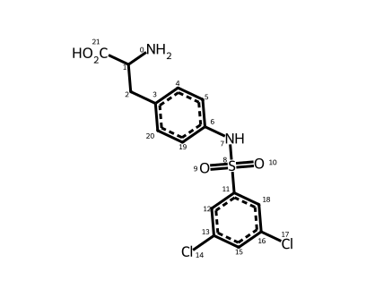 NC(Cc1ccc(NS(=O)(=O)c2cc(Cl)cc(Cl)c2)cc1)C(=O)O